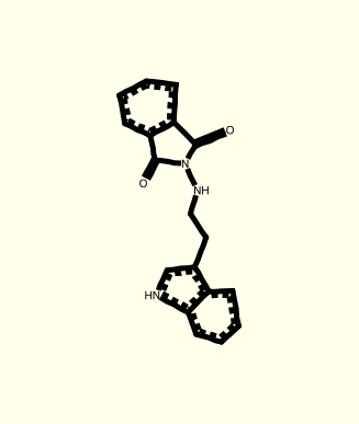 O=C1c2ccccc2C(=O)N1NCCc1c[nH]c2ccccc12